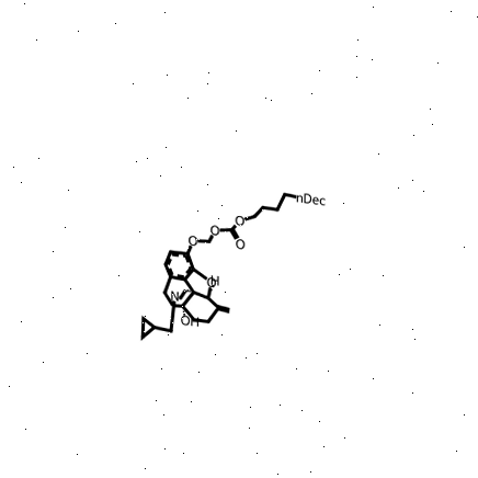 C=C1CC[C@@]2(O)C3Cc4ccc(OCOC(=O)OCCCCCCCCCCCCCC)c5c4[C@@]2(CCN3CC2CC2)[C@H]1O5